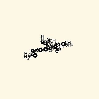 CC(=O)Nc1nc2[nH]ccc2cc1Oc1cc(N2CCC3(CC2)CC(N2CCC[C@@H]2c2ccccc2C(C)C)C3)ccc1C(=O)NS(=O)(=O)c1cc2c(c([N+](=O)[O-])c1)N[C@@H](C1CCC(C)(O)CC1)CO2